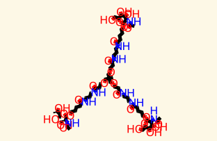 CC(=O)NC1C(OCCCCC(=O)NCCCNC(=O)CCOCC(C)(COCCC(=O)NCCCNC(=O)CCCCOC2OC(CO)C(O)C(O)C2NC(C)=O)COCCC(=O)NCCCNC(=O)CCCCOC(OC(CO)[C@@H](C)O)[C@H](CO)NC(C)=O)OC(CO)C(O)C1O